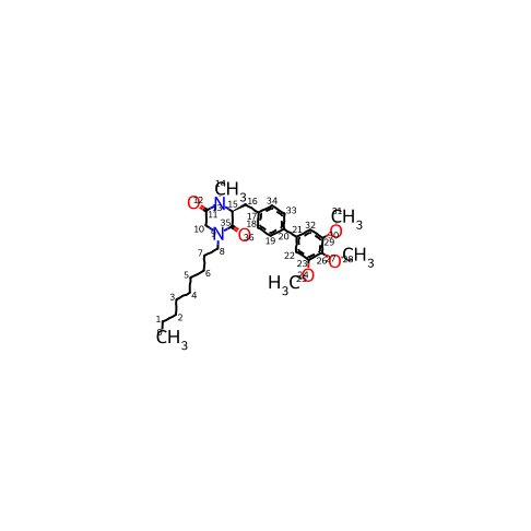 CCCCCCCCCN1CC(=O)N(C)[C@@H](Cc2ccc(-c3cc(OC)c(OC)c(OC)c3)cc2)C1=O